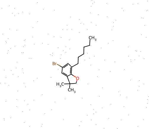 CCCCCCc1cc(Br)cc2c1OCC2(C)C